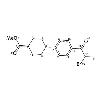 COC(=O)[C@H]1CC[C@H](c2ccc(C(=O)C(C)Br)cc2)CC1